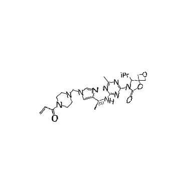 C=CC(=O)N1CCN(Cn2cnc([C@H](C)Nc3nc(C)nc(N4C(=O)OC5(COC5)C4C(C)C)n3)c2)CC1